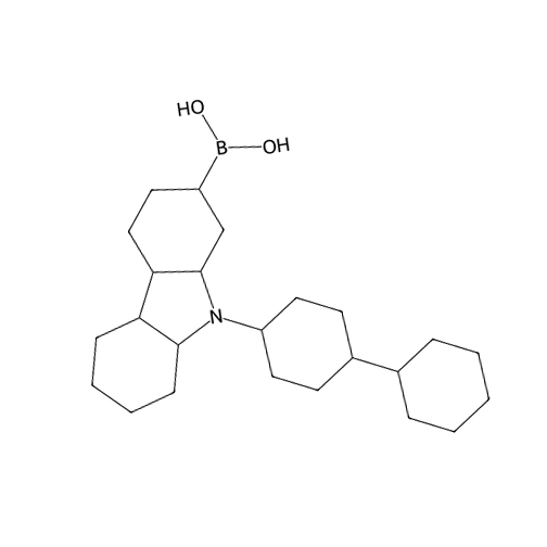 OB(O)C1CCC2C3CCCCC3N(C3CCC(C4CCCCC4)CC3)C2C1